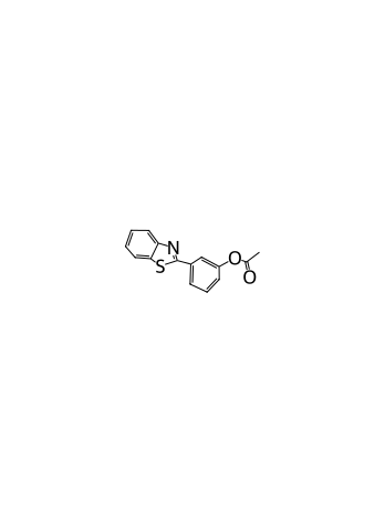 CC(=O)Oc1cccc(-c2nc3ccccc3s2)c1